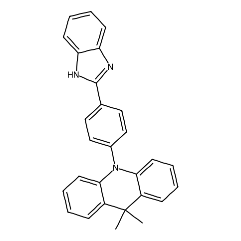 CC1(C)c2ccccc2N(c2ccc(-c3nc4ccccc4[nH]3)cc2)c2ccccc21